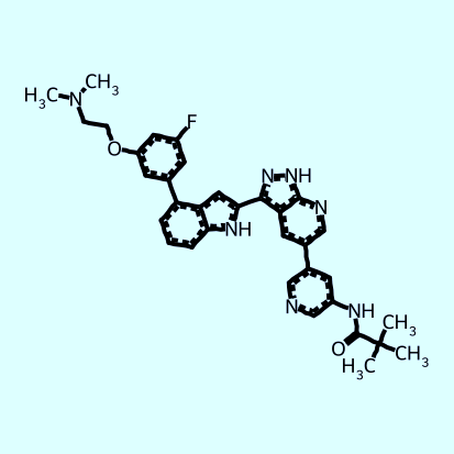 CN(C)CCOc1cc(F)cc(-c2cccc3[nH]c(-c4n[nH]c5ncc(-c6cncc(NC(=O)C(C)(C)C)c6)cc45)cc23)c1